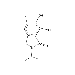 Cc1cc2c(c(Cl)c1O)C(=O)N(C(C)C)C2